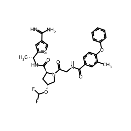 Cc1cc(C(=O)NCC(=O)N2C[C@H](OC(F)F)C[C@H]2C(=O)N[C@H](C)c2cc(C(=N)N)cs2)ccc1Oc1ccccc1